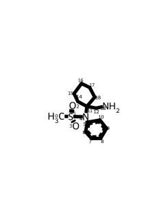 CS(=O)(=O)N(c1ccccc1)C1(CN)CCCCC1